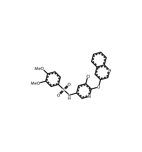 COc1ccc(S(=O)(=O)Nc2cnc(Oc3cnc4ccccc4c3)c(Cl)c2)cc1OC